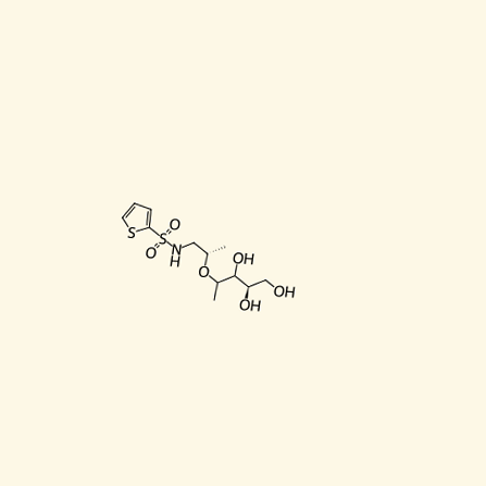 CC(O[C@@H](C)CNS(=O)(=O)c1cccs1)C(O)[C@H](O)CO